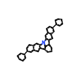 c1ccc(-c2ccc3cc4c(cc3c2)c2cccc3c5cc6cc(-c7ccccc7)ccc6cc5n4c23)cc1